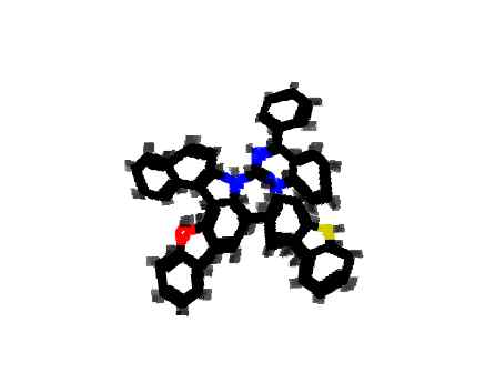 c1ccc(-c2nc(-n3c4ccc5ccccc5c4c4c5oc6ccccc6c5cc(-c5ccc6sc7ccccc7c6c5)c43)nc3ccccc23)cc1